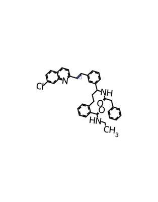 CCNC(=O)c1ccccc1CCC(NC(=O)Cc1ccccc1)c1cccc(/C=C/c2ccc3ccc(Cl)cc3n2)c1